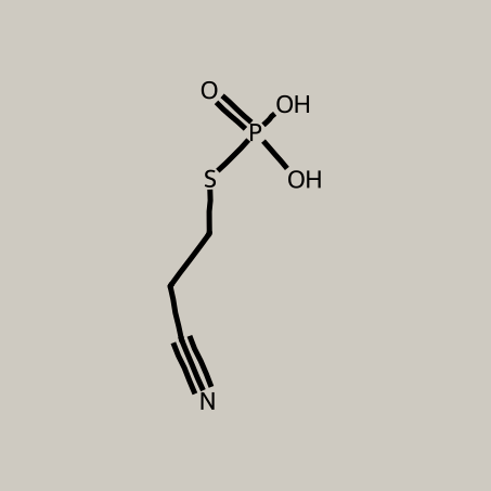 N#CCCSP(=O)(O)O